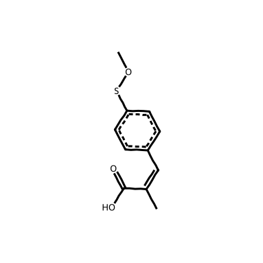 COSc1ccc(C=C(C)C(=O)O)cc1